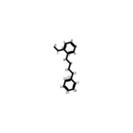 CCc1ccccc1CCCCc1ccccc1